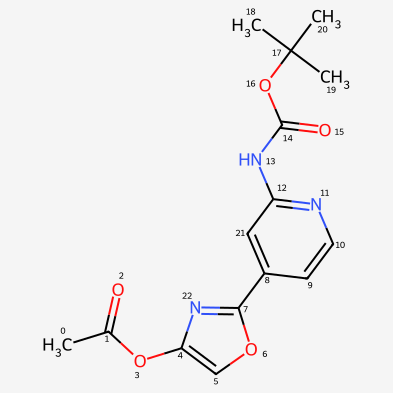 CC(=O)Oc1coc(-c2ccnc(NC(=O)OC(C)(C)C)c2)n1